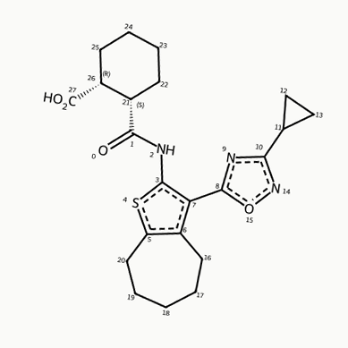 O=C(Nc1sc2c(c1-c1nc(C3CC3)no1)CCCCC2)[C@H]1CCCC[C@H]1C(=O)O